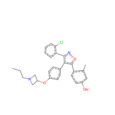 CCCN1CC(Oc2ccc(-c3c(-c4ccccc4Cl)noc3-c3ccc(O)cc3C)cc2)C1